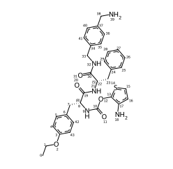 CCOc1ccc(C[C@@H](NC(=O)Oc2sccc2N)C(=O)N[C@@H](Cc2ccccc2)C(=O)NCc2ccc(CN)cc2)cc1